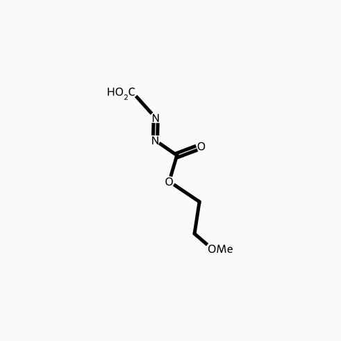 COCCOC(=O)N=NC(=O)O